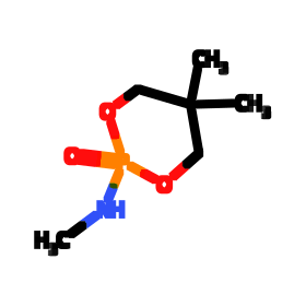 CNP1(=O)OCC(C)(C)CO1